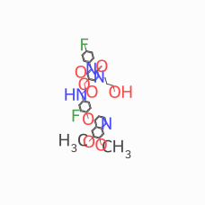 COc1cc2nccc(Oc3ccc(NC(=O)Oc4cn(CCCO)c(=O)n(-c5ccc(F)cc5)c4=O)cc3F)c2cc1OC